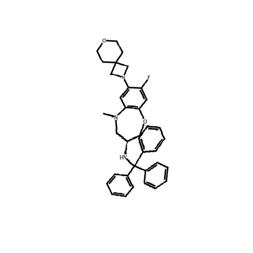 CN1C[C@H](NC(c2ccccc2)(c2ccccc2)c2ccccc2)COc2cc(F)c(N3CC4(CCOCC4)C3)cc21